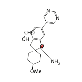 CO[C@H]1CC[C@]2(CC1)Cc1ccc(-c3cncnc3)cc1C21COC(N)=N1.O=CO